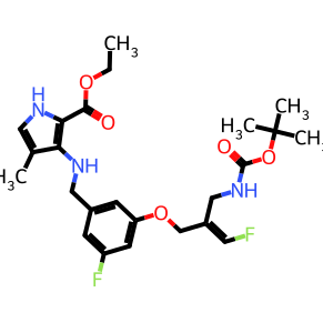 CCOC(=O)c1[nH]cc(C)c1NCc1cc(F)cc(OC/C(=C/F)CNC(=O)OC(C)(C)C)c1